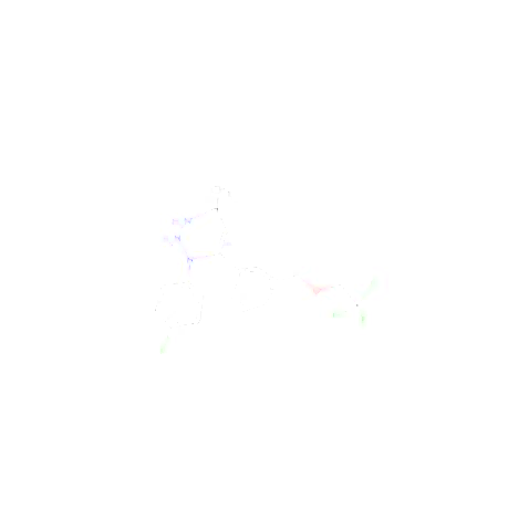 C=C(N)/C=C(/c1cccc(COCC(F)(F)F)c1)N(N)c1ccc(F)cc1